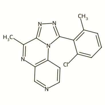 Cc1cccc(Cl)c1-c1nnc2c(C)nc3cnccc3n12